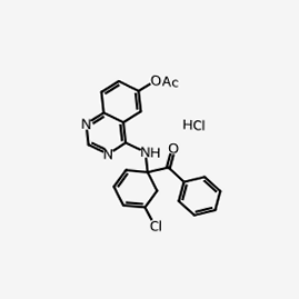 CC(=O)Oc1ccc2ncnc(NC3(C(=O)c4ccccc4)C=CC=C(Cl)C3)c2c1.Cl